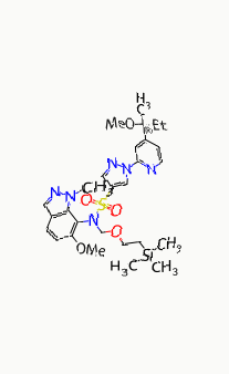 CC[C@@](C)(OC)c1ccnc(-n2cc(S(=O)(=O)N(COCC[Si](C)(C)C)c3c(OC)ccc4cnn(C)c34)cn2)c1